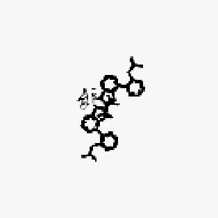 CC(C)Cc1ccccc1-c1cccc2c1C=C(C(C)C)[CH]2[Hf]([Cl])([Cl])([CH]1C(C(C)C)=Cc2c(-c3ccccc3CC(C)C)cccc21)[SiH](C)C